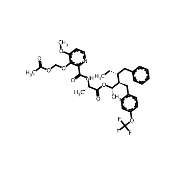 CC[C@H](Cc1ccccc1)[C@@H](Cc1ccc(OC(F)(F)F)cc1)[C@H](C)OC(=O)[C@H](C)NC(=O)c1nccc(OC)c1OCOC(C)=O